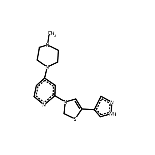 CN1CCN(c2ccnc(N3C=C(c4cn[nH]c4)SC3)c2)CC1